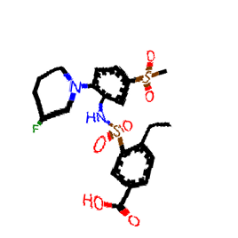 CCc1ccc(C(=O)O)cc1S(=O)(=O)Nc1cc(S(C)(=O)=O)ccc1N1CCCC(F)C1